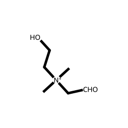 C[N+](C)(CC=O)CCO